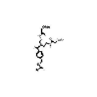 COCC(=O)NCCN(CCNC(=O)COC)C(=O)c1ccc(CNC(=O)C(C)C)cc1